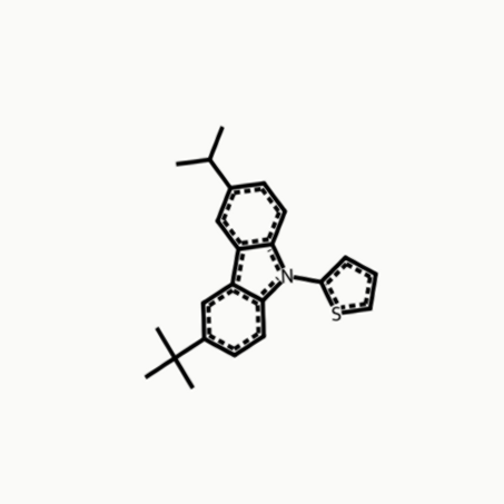 CC(C)c1ccc2c(c1)c1cc(C(C)(C)C)ccc1n2-c1cccs1